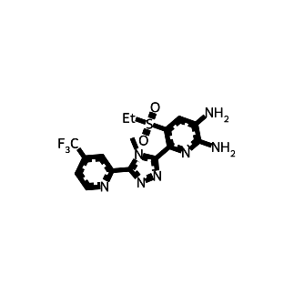 CCS(=O)(=O)c1cc(N)c(N)nc1-c1nnc(-c2cc(C(F)(F)F)ccn2)n1C